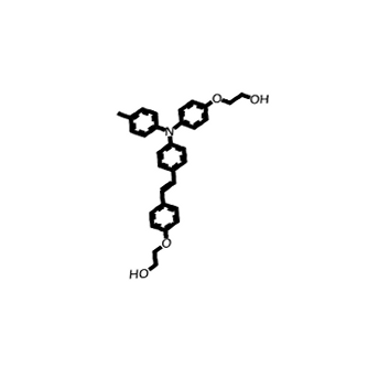 Cc1ccc(N(c2ccc(C=Cc3ccc(OCCO)cc3)cc2)c2ccc(OCCO)cc2)cc1